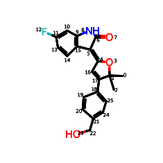 CC1(C)OC(=C2C(=O)Nc3cc(F)ccc32)C=C1c1ccc(CO)cc1